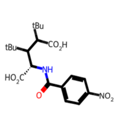 CC(C)(C)C(C(=O)O)C([C@H](NC(=O)c1ccc([N+](=O)[O-])cc1)C(=O)O)C(C)(C)C